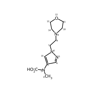 CN(C(=O)O)c1cnn(CCN2CCOCC2)c1